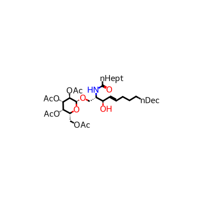 CCCCCCCCCCCCC/C=C/[C@@H](O)[C@H](CO[C@@H]1O[C@H](COC(C)=O)[C@H](OC(C)=O)[C@H](OC(C)=O)[C@H]1OC(C)=O)NC(=O)CCCCCCC